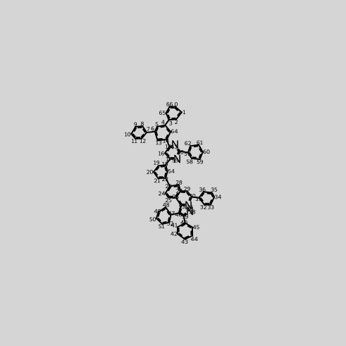 c1ccc(-c2cc(-c3ccccc3)cc(-c3cc(-c4cccc(-c5ccc6c(c5)cc(-c5ccccc5)n5nc(-c7ccccc7)c(-c7ccccc7)c65)c4)nc(-c4ccccc4)n3)c2)cc1